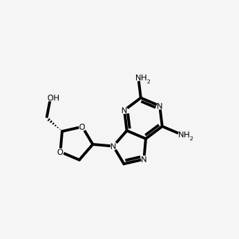 Nc1nc(N)c2ncn(C3CO[C@H](CO)O3)c2n1